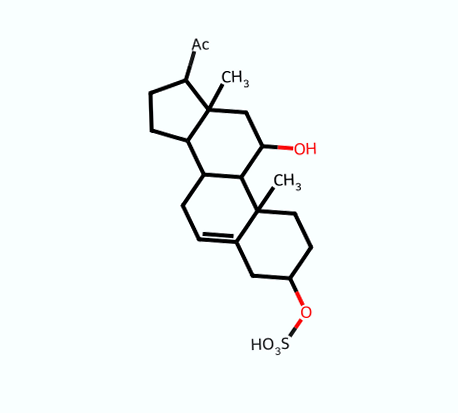 CC(=O)C1CCC2C3CC=C4CC(OS(=O)(=O)O)CCC4(C)C3C(O)CC12C